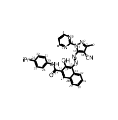 Cc1nn(-c2ncccn2)c(/N=N/c2c(O)c(C(=O)Nc3ccc(C(C)C)cc3)cc3ccccc23)c1C#N